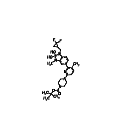 Cc1ccc(N2CCN(C(=O)OC(C)(C)C)CC2)nc1-c1ccc2c(c1)N(C)S(O)(O)N2CC1CC1(F)F